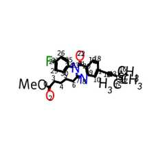 COC(=O)CCCCc1nc2cc(C#C[Si](C)(C)C)ccc2c(=O)n1-c1ccc(F)cc1